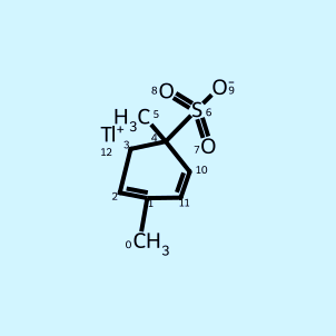 CC1=CCC(C)(S(=O)(=O)[O-])C=C1.[Tl+]